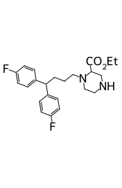 CCOC(=O)C1CNCCN1CCCC(c1ccc(F)cc1)c1ccc(F)cc1